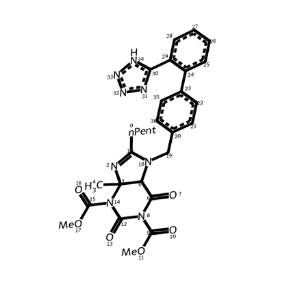 CCCCCC1=NC2(C)C(C(=O)N(C(=O)OC)C(=O)N2C(=O)OC)N1Cc1ccc(-c2ccccc2-c2nnn[nH]2)cc1